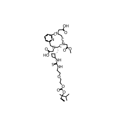 C=CC(C)(OC(=O)OCCOCCNC(=S)NC1CC[C@@H]1C[C@H]1CN(CC(=O)OC)CCN(CC(=O)O)Cc2cccc(n2)CN1CC(=O)O)C(C)C